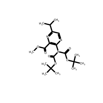 COC(=O)c1nc(C(C)C)cnc1N(C(=O)OC(C)(C)C)C(=O)OC(C)(C)C